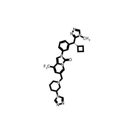 Cn1cnnc1[C@@H](c1cccc(-n2cc3c(C(F)(F)F)cc(CN4CCCC(n5cnnc5)C4)cn3c2=O)c1)C1CCC1